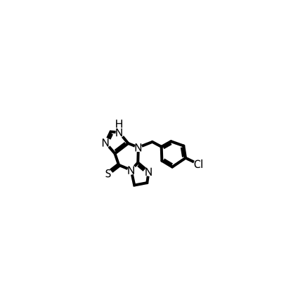 S=C1c2nc[nH]c2N(Cc2ccc(Cl)cc2)C2=NCCN12